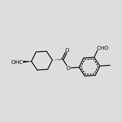 Cc1ccc(OC(=O)[C@H]2CC[C@H](C=O)CC2)cc1C=O